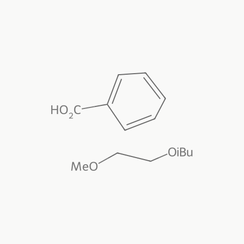 COCCOCC(C)C.O=C(O)c1ccccc1